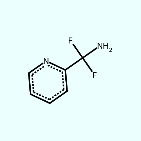 NC(F)(F)c1ccccn1